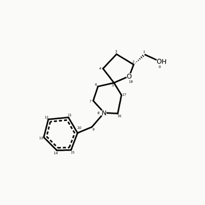 OC[C@H]1CCC2(CCN(Cc3ccccc3)CC2)O1